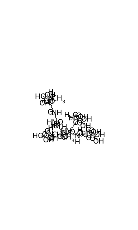 CC(=O)NC1C(OCCCCC(=O)NCCCCC(NC(=O)CCCCOC2OC(CO)C(O)C(O)C2NC(C)=O)C(=O)NCCCCC(NC(=O)C(CCCCNC(=O)CCCCOC2OC(CO)C(O)C(O)C2NC(C)=O)NC(=O)CCCCOC2OC(CO)C(O)C(O)C2NC(C)=O)C(C)=O)OC(CO)C(O)C1O